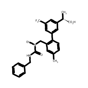 CCN(Cc1cc(C)ccc1-c1cc([C@H](C)C(=O)O)cc(C(F)(F)F)c1)C(=O)NCc1ccccc1